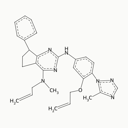 C=CCOc1cc(Nc2nc3c(c(N(C)CC=C)n2)CCC3c2ccccc2)ccc1-n1ncnc1C